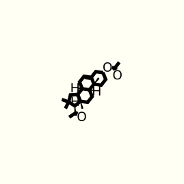 CC(=O)OC1CC[C@@]2(C)C(=CC[C@H]3[C@@H]4CC(C)(C)[C@H](C(C)=O)[C@@]4(C)CC[C@@H]32)C1